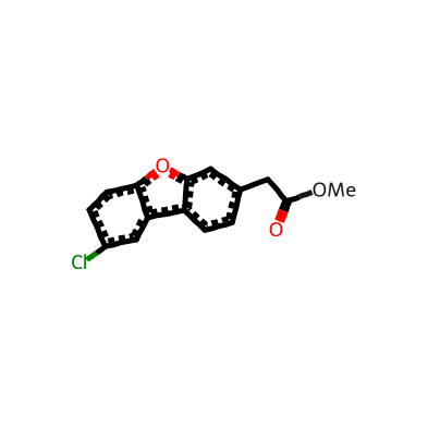 COC(=O)Cc1ccc2c(c1)oc1ccc(Cl)cc12